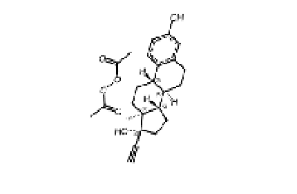 C#C[C@]1(O)CC[C@H]2[C@@H]3CCc4cc(O)ccc4[C@H]3CC[C@@]21C.CC(=O)OOC(C)=O